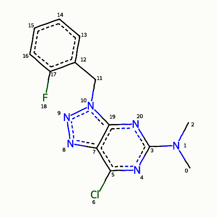 CN(C)c1nc(Cl)c2nnn(Cc3ccccc3F)c2n1